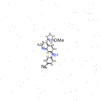 COC1(C)CCCN1c1cc(C)nc2cc(Nc3ccc(C#N)cc3)ccc12